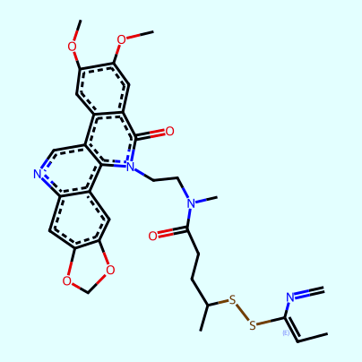 C=N/C(=C\C)SSC(C)CCC(=O)N(C)CCn1c(=O)c2cc(OC)c(OC)cc2c2cnc3cc4c(cc3c21)OCO4